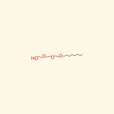 CCCCCCCCOCCOCCOCCO